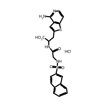 Cl.Nc1nccc2sc(CC(NC(=O)CNS(=O)(=O)c3ccc4ccccc4c3)C(=O)O)cc12